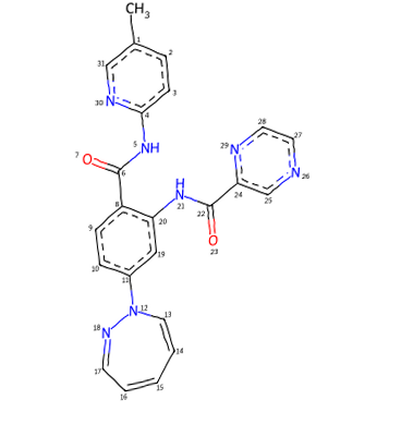 Cc1ccc(NC(=O)c2ccc(N3C=CC=CC=N3)cc2NC(=O)c2cnccn2)nc1